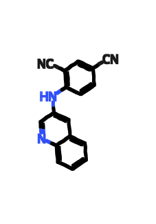 N#Cc1ccc(Nc2cnc3ccccc3c2)c(C#N)c1